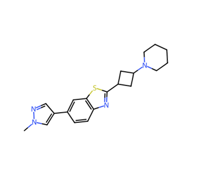 Cn1cc(-c2ccc3nc(C4CC(N5CCCCC5)C4)sc3c2)cn1